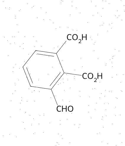 O=Cc1cccc(C(=O)O)c1C(=O)O